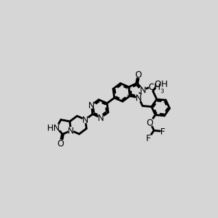 Cn1c(=O)c2ccc(-c3cnc(N4CCN5C(=O)NCC5C4)nc3)cc2n1Cc1c(CO)cccc1OC(F)F